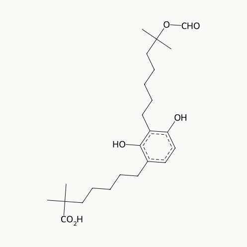 CC(C)(CCCCCc1c(O)ccc(CCCCCC(C)(C)C(=O)O)c1O)OC=O